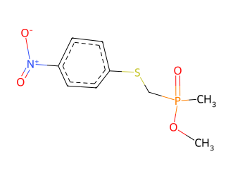 COP(C)(=O)CSc1ccc([N+](=O)[O-])cc1